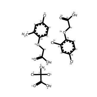 CC(Cl)(Cl)C(=O)O.Cc1cc(Cl)ccc1OCC(=O)O.O=C(O)COc1ccc(Cl)cc1Cl